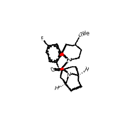 COC1CCN(C(=O)N2[C@@H]3CC[C@H]2C[C@@H](c2ccc(F)cc2)C3)CC1